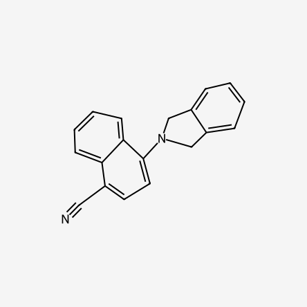 N#Cc1ccc(N2Cc3ccccc3C2)c2ccccc12